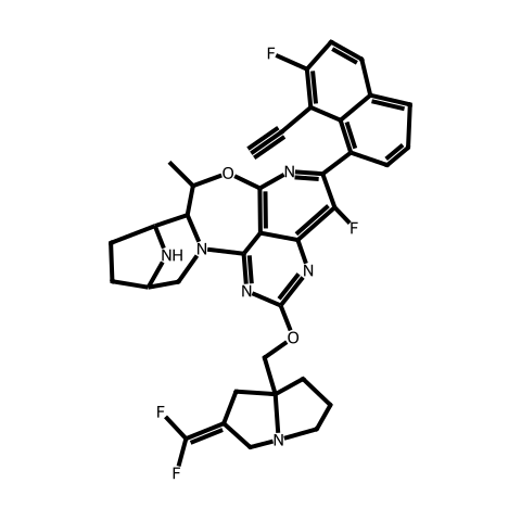 C#Cc1c(F)ccc2cccc(-c3nc4c5c(nc(OCC67CCCN6CC(=C(F)F)C7)nc5c3F)N3CC5CCC(N5)C3C(C)O4)c12